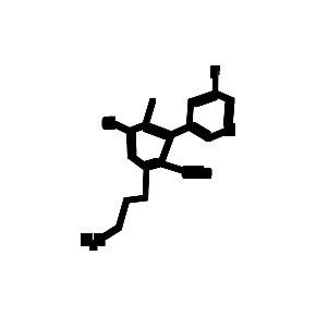 COc1c(CCCN)cc(Cl)c(C)c1-c1cncc(F)c1